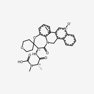 COc1c[n+]([O-])c2ccccc2c1CN1C(=O)[C@@H](NC(=O)[C@H](C)N(C)C(=O)O)C2(CCOCC2)Oc2ccccc21